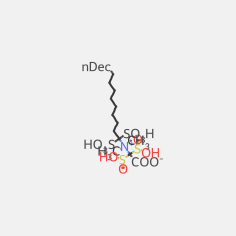 CCCCCCCCCCCCCCCCCCC([N+](C)(C)C(C(=O)[O-])(S(=O)O)S(=O)O)(S(=O)(=O)O)S(=O)(=O)O